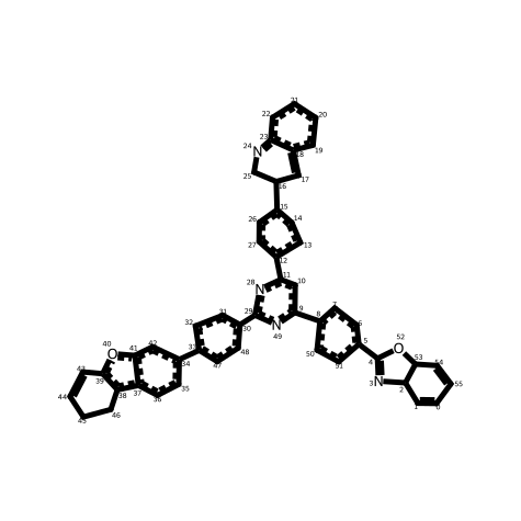 C1=CC2N=C(c3ccc(-c4cc(-c5ccc(C6C=c7ccccc7=NC6)cc5)nc(-c5ccc(-c6ccc7c8c(oc7c6)C=CCC8)cc5)n4)cc3)OC2C=C1